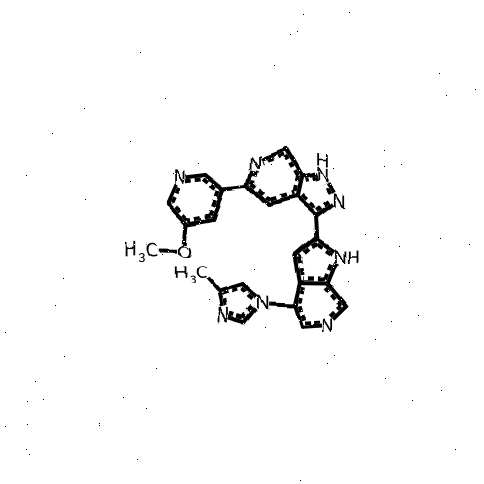 COc1cncc(-c2cc3c(-c4cc5c(-n6cnc(C)c6)cncc5[nH]4)n[nH]c3cn2)c1